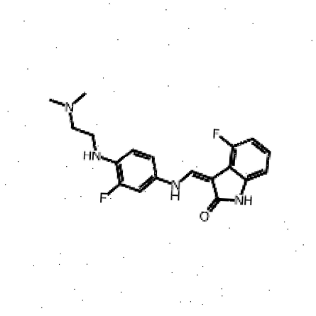 CN(C)CCNc1ccc(NC=C2C(=O)Nc3cccc(F)c32)cc1F